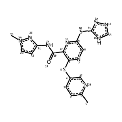 Cc1ccc(Sc2ncc(Sc3nnc[nH]3)nc2C(=O)Nc2ccn(C)n2)cn1